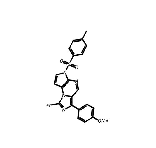 COc1ccc(-c2nc(C(C)C)n3c2cnc2c3ccn2S(=O)(=O)c2ccc(C)cc2)cc1